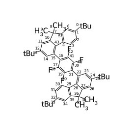 CC(C)(C)c1ccc2c(c1)C(C)(C)c1cc(C(C)(C)C)cc(-c3c(F)c(F)c(-c4cc(C(C)(C)C)cc5c4-c4ccc(C(C)(C)C)cc4C5(C)C)c(F)c3F)c1-2